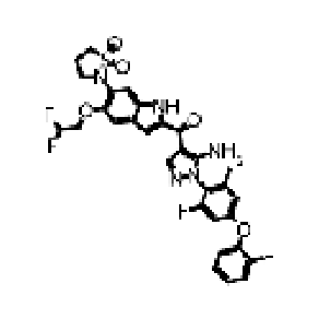 Cc1cc(Oc2ccccc2F)cc(F)c1-n1ncc(C(=O)c2cc3cc(OCC(F)F)c(N4CCCS4(=O)=O)cc3[nH]2)c1N